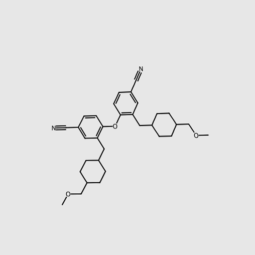 COCC1CCC(Cc2cc(C#N)ccc2Oc2ccc(C#N)cc2CC2CCC(COC)CC2)CC1